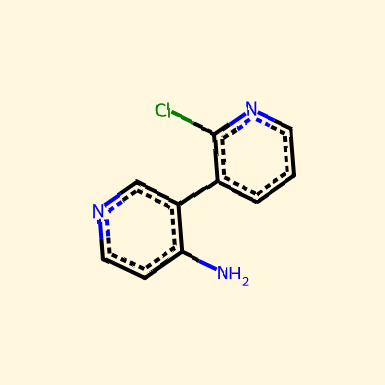 Nc1ccncc1-c1cccnc1Cl